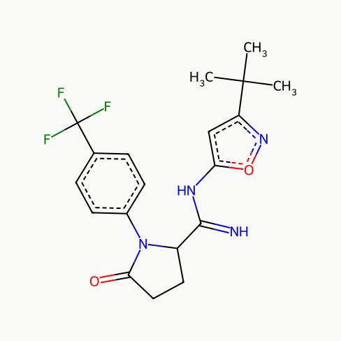 CC(C)(C)c1cc(NC(=N)C2CCC(=O)N2c2ccc(C(F)(F)F)cc2)on1